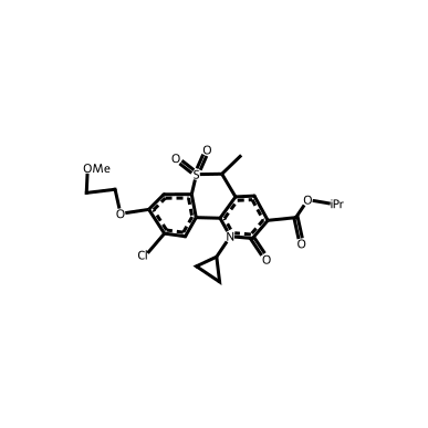 COCCOc1cc2c(cc1Cl)-c1c(cc(C(=O)OC(C)C)c(=O)n1C1CC1)C(C)S2(=O)=O